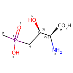 CP(=O)(O)C[C@@H](O)[C@H](N)C(=O)O